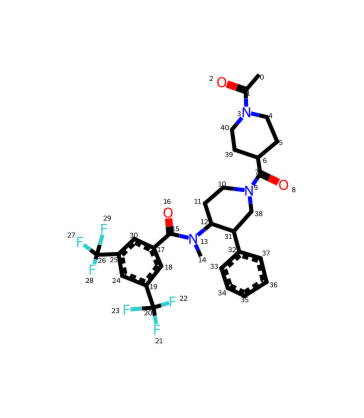 CC(=O)N1CCC(C(=O)N2CCC(N(C)C(=O)c3cc(C(F)(F)F)cc(C(F)(F)F)c3)C(c3ccccc3)C2)CC1